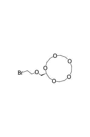 BrCCOC[C@@H]1COCCOCCOCCOCCO1